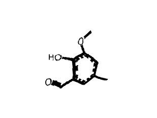 COc1cc(C)cc(C=O)c1O